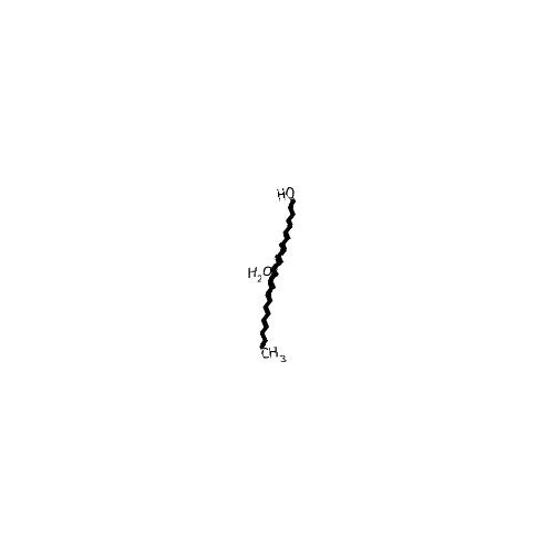 CCCCCCCCCCCCCCCCCCCCCCCCCO.O